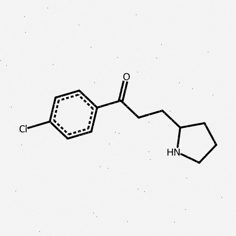 O=C(CCC1CCCN1)c1ccc(Cl)cc1